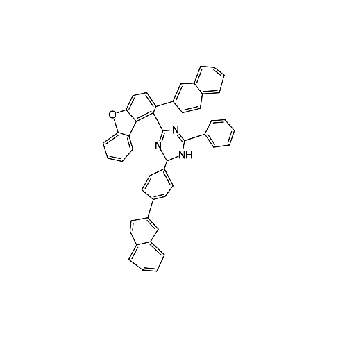 c1ccc(C2=NC(c3c(-c4ccc5ccccc5c4)ccc4oc5ccccc5c34)=NC(c3ccc(-c4ccc5ccccc5c4)cc3)N2)cc1